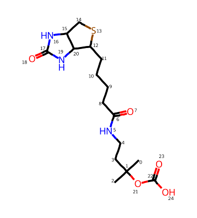 CC(C)(CCNC(=O)CCCCC1SCC2NC(=O)NC21)OC(=O)O